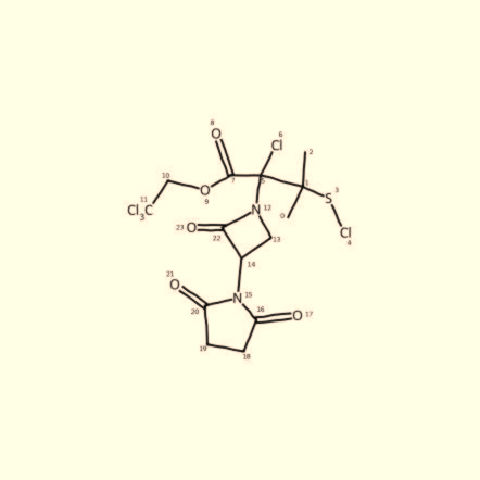 CC(C)(SCl)C(Cl)(C(=O)OCC(Cl)(Cl)Cl)N1CC(N2C(=O)CCC2=O)C1=O